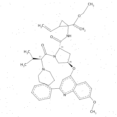 C=CC1CC1(NC(=O)[C@@H]1C[C@@H](Oc2cc(-c3ccccc3)nc3cc(OC)ccc23)CN1C(=O)[C@H](C(C)C)N1CCCCC1)C(=C)OCC